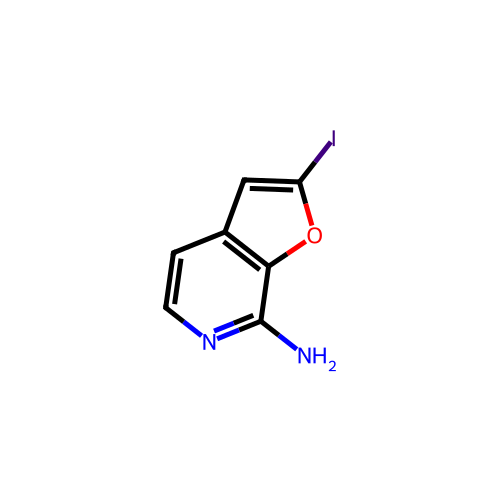 Nc1nccc2cc(I)oc12